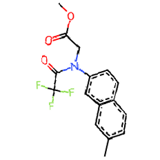 COC(=O)CN(C(=O)C(F)(F)F)c1ccc2ccc(C)cc2c1